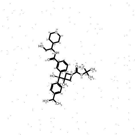 CC(C)c1ccc([C@](O)(c2cccc(C(=O)NC(CO)C3CCOCC3)c2)C2(C)CN(C(=O)OC(C)(C)C)C2)cc1